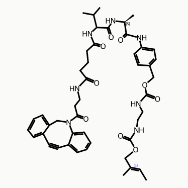 C/C=C(\C)COC(=O)NCCNC(=O)OCc1ccc(NC(=O)[C@H](C)NC(=O)C(NC(=O)CCCC(=O)NCCC(=O)N2Cc3ccccc3C#Cc3ccccc32)C(C)C)cc1